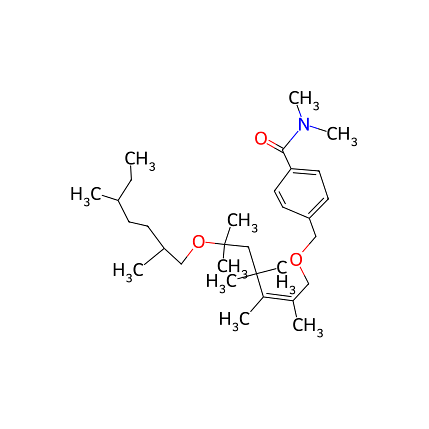 CCC(C)CCC(C)COC(C)(C)CC(C)(C)C(C)=C(C)COCc1ccc(C(=O)N(C)C)cc1